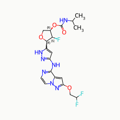 CC(C)NC(=O)O[C@@H]1CO[C@H](c2cc(Nc3nccn4nc(OCC(F)F)cc34)n[nH]2)[C@@H]1F